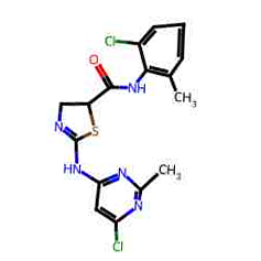 Cc1nc(Cl)cc(NC2=NCC(C(=O)Nc3c(C)cccc3Cl)S2)n1